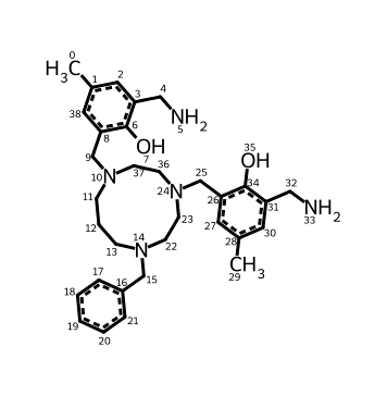 Cc1cc(CN)c(O)c(CN2CCCN(Cc3ccccc3)CCN(Cc3cc(C)cc(CN)c3O)CC2)c1